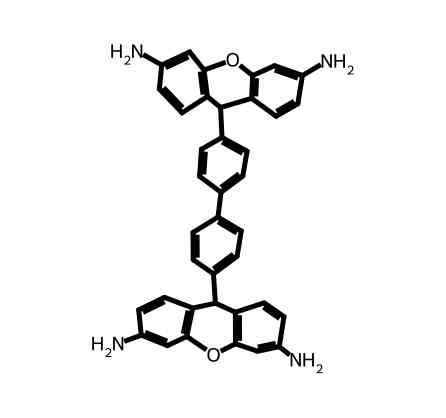 Nc1ccc2c(c1)Oc1cc(N)ccc1C2c1ccc(-c2ccc(C3c4ccc(N)cc4Oc4cc(N)ccc43)cc2)cc1